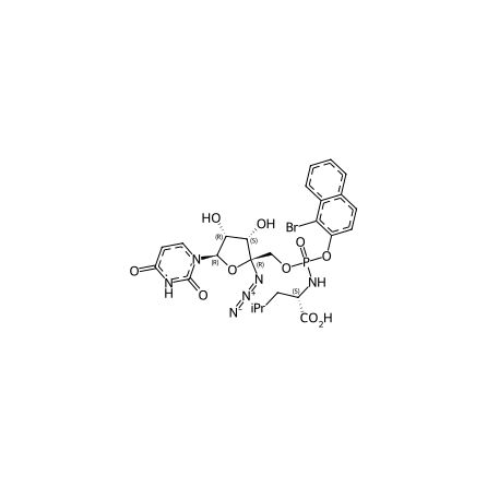 CC(C)C[C@H](NP(=O)(OC[C@@]1(N=[N+]=[N-])O[C@@H](n2ccc(=O)[nH]c2=O)[C@H](O)[C@@H]1O)Oc1ccc2ccccc2c1Br)C(=O)O